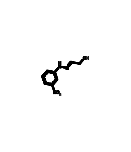 O=[N+]([O-])c1cccc(NN=CCO)c1